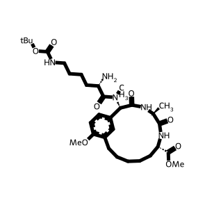 COC(=O)[C@@H]1CCCCCc2cc(ccc2OC)[C@H](N(C)C(=O)[C@@H](N)CCCCNC(=O)OC(C)(C)C)C(=O)N[C@@H](C)C(=O)N1